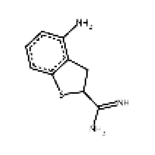 N=C(N)C1Cc2c(N)cccc2S1